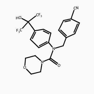 N#Cc1ccc(CN(C(=O)N2CCOCC2)c2ccc(C(O)(C(F)(F)F)C(F)(F)F)cc2)cc1